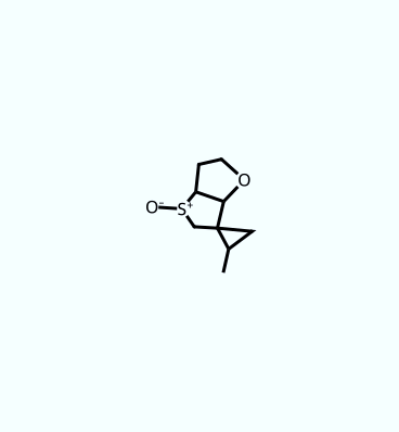 CC1CC12C[S+]([O-])C1CCOC12